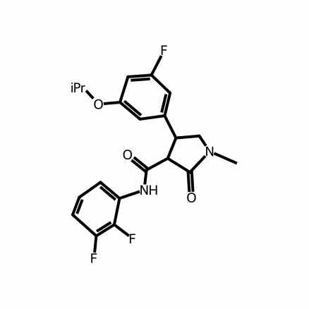 CC(C)Oc1cc(F)cc(C2CN(C)C(=O)C2C(=O)Nc2cccc(F)c2F)c1